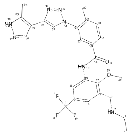 CCNCc1cc(C(F)(F)F)cc(NC(=O)c2ccc(C)c(-n3cc(-c4cn[nH]c4C)nn3)c2)c1OC